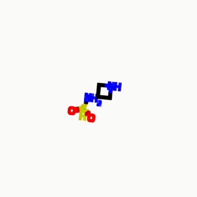 C1CNC1.N[SH](=O)=O